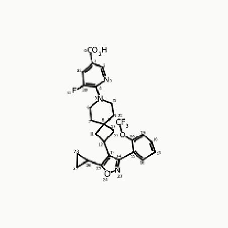 O=C(O)c1cnc(N2CCC3(CC2)CC(c2c(-c4ccccc4OC(F)(F)F)noc2C2CC2)C3)c(F)c1